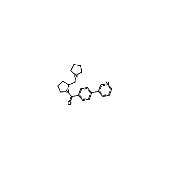 O=C(c1ccc(-c2cccnc2)cc1)N1CCCC1CN1CCCC1